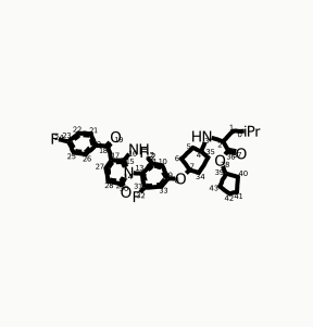 CC(C)CC(NC1CCC(Oc2cc(F)c(-n3c(N)c(C(=O)c4ccc(F)cc4)ccc3=O)c(F)c2)CC1)C(=O)OC1CCCC1